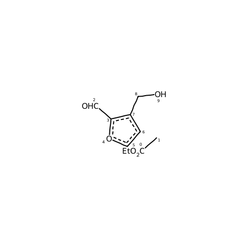 CCOC(C)=O.O=Cc1occc1CO